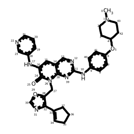 CN1CCC(Oc2ccc(Nc3ncc4cc(Nc5cccnc5)c(=O)n(Cc5ocnc5C5=CCCC5)c4n3)cc2)CC1